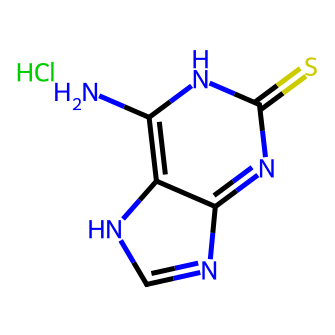 Cl.Nc1[nH]c(=S)nc2nc[nH]c12